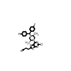 C[C@@H]1CN(c2nc(Cl)nc3sc(CCC#N)nc23)[C@@H](C)CN1C(c1ccc(F)cc1)c1ccc(F)cc1